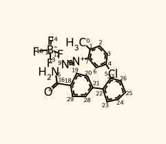 Cc1ccc(Cl)cc1[N+]#N.F[B-](F)(F)F.NC(=O)c1ccc(-c2ccccc2)cc1